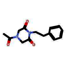 CC(=O)N1CC(=O)N(CCc2ccccc2)C(=O)C1